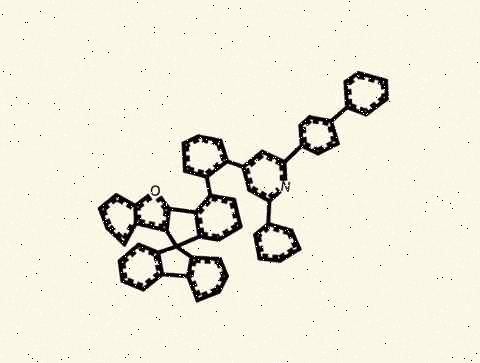 c1ccc(-c2ccc(-c3cc(-c4ccccc4-c4cccc5c4-c4oc6ccccc6c4C54c5ccccc5-c5ccccc54)cc(-c4ccccc4)n3)cc2)cc1